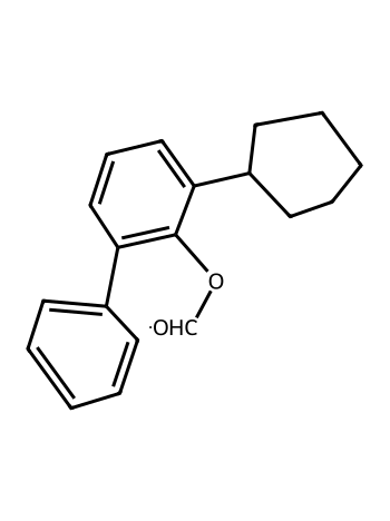 O=[C]Oc1c(-c2ccccc2)cccc1C1CCCCC1